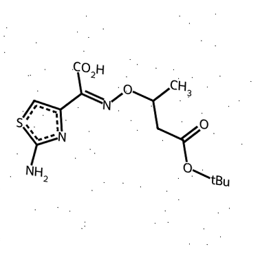 CC(CC(=O)OC(C)(C)C)O/N=C(\C(=O)O)c1csc(N)n1